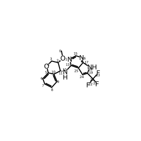 CO[C@@H]1COc2ccccc2[C@H]1Nc1ncnc2[nH]c(C(F)(F)F)cc12